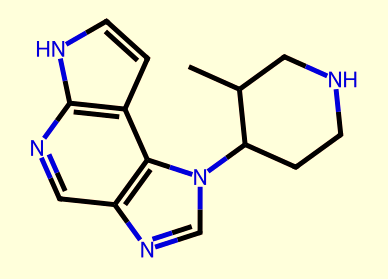 CC1CNCCC1n1cnc2cnc3[nH]ccc3c21